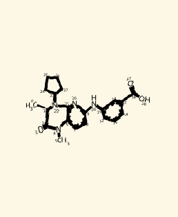 C[C@@H]1C(=O)N(C)c2ccc(Nc3cccc(C(=O)O)c3)nc2N1C1CCCC1